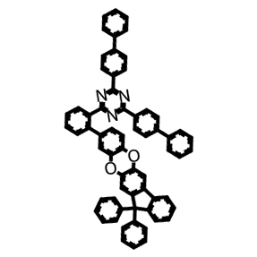 c1ccc(-c2ccc(-c3nc(-c4ccc(-c5ccccc5)cc4)nc(-c4ccccc4-c4ccc5c(c4)Oc4cc6c(cc4O5)-c4ccccc4C6(c4ccccc4)c4ccccc4)n3)cc2)cc1